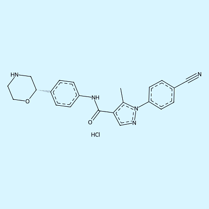 Cc1c(C(=O)Nc2ccc([C@H]3CNCCO3)cc2)cnn1-c1ccc(C#N)cc1.Cl